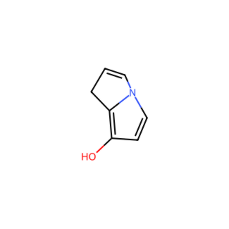 Oc1ccn2c1CC=C2